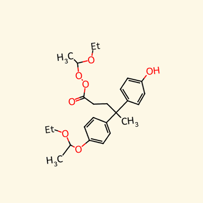 CCOC(C)OOC(=O)CCC(C)(c1ccc(O)cc1)c1ccc(OC(C)OCC)cc1